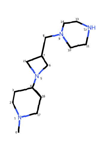 CN1CCC(N2CC(CN3CCNCC3)C2)CC1